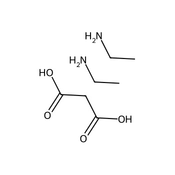 CCN.CCN.O=C(O)CC(=O)O